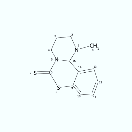 CN1CCCN2C(=S)Sc3ccccc3C12